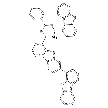 c1ccc(C2NC(c3cccc4c3sc3cc(-c5cccc6c5sc5ccccc56)ccc34)NC(c3cccc4sc5ccccc5c34)N2)cc1